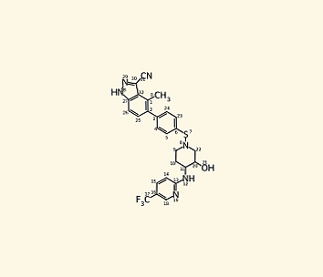 Cc1c(-c2ccc(SN3CCC(Nc4ccc(C(F)(F)F)cn4)C(O)C3)cc2)ccc2[nH]nc(C#N)c12